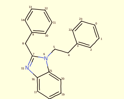 c1ccc(CCn2c(Cc3ccccc3)nc3ccccc32)cc1